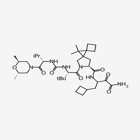 CC(C)[C@H](NC(=O)N[C@H](C(=O)N1CC2(C[C@H]1C(=O)NC(CC1CCC1)C(=O)C(N)=O)C(C)(C)C21CCC1)C(C)(C)C)C(=O)N1C[C@H](C)O[C@@H](C)C1